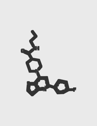 CCCNC(=O)C1CCN(c2cc(-c3ccc(F)cc3)nc3ccsc23)CC1